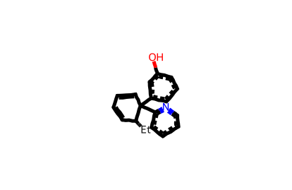 CCC1C=CC=CC1(c1cccc(O)c1)c1ccccn1